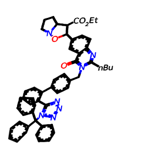 CCCCc1nc2ccc(C3ON4CCCC4C3C(=O)OCC)cc2c(=O)n1Cc1ccc(-c2ccccc2-c2nnnn2C(c2ccccc2)(c2ccccc2)c2ccccc2)cc1